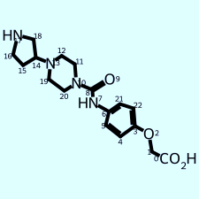 O=C(O)COc1ccc(NC(=O)N2CCN(C3CCNC3)CC2)cc1